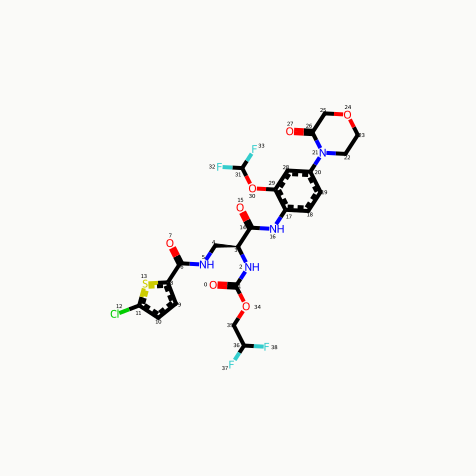 O=C(N[C@@H](CNC(=O)c1ccc(Cl)s1)C(=O)Nc1ccc(N2CCOCC2=O)cc1OC(F)F)OCC(F)F